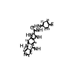 N=C(c1ccncc1)c1cc2c(cc1N)NC(C(=O)NNc1ccc(F)cc1)N2